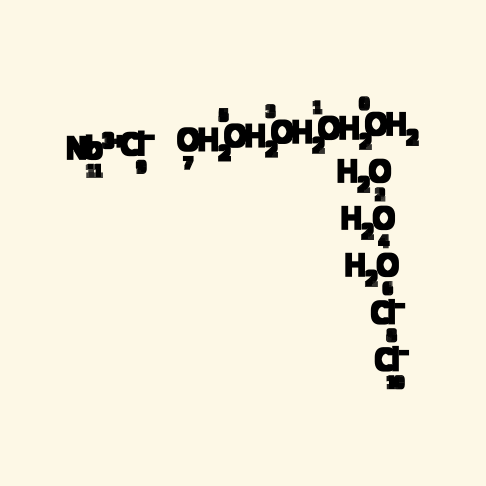 O.O.O.O.O.O.O.O.[Cl-].[Cl-].[Cl-].[Nb+3]